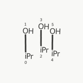 CC(C)O.CC(C)O.CC(C)O